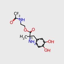 C[C@](N)(Cc1ccc(O)c(O)c1)C(=O)OCCNC(=O)C(F)(F)F